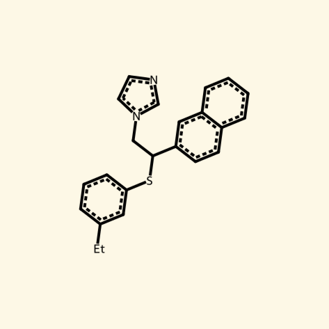 CCc1cccc(SC(Cn2ccnc2)c2ccc3ccccc3c2)c1